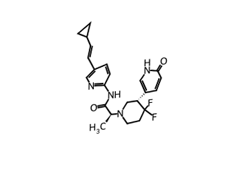 C[C@@H](C(=O)Nc1ccc(/C=C/C2CC2)cn1)N1CCC(F)(F)[C@@H](c2ccc(=O)[nH]c2)C1